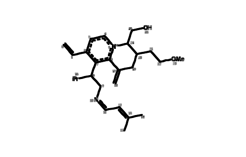 C=Cc1cc[n+]2c(c1C(C/N=C\C=C(C)C)C(C)C)C(=C)CC(CCOC)C2CO